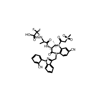 CNC(C)C(=O)N[C@@H]1C(=O)N(Cc2nn(-c3ccccc3C#N)c3ccccc23)c2ccc(C#N)cc2N(C(=O)CS(C)(=O)=O)[C@H]1C.O=C(O)C(F)(F)F